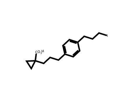 O=C(O)C1(CCCc2ccc(CCCI)cc2)CC1